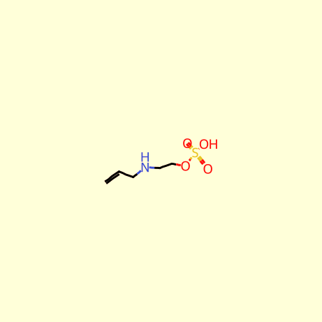 C=CCNCCOS(=O)(=O)O